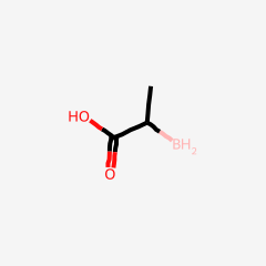 BC(C)C(=O)O